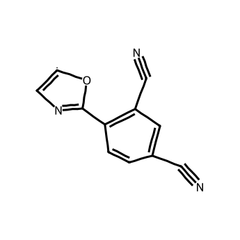 N#Cc1ccc(-c2nc[c]o2)c(C#N)c1